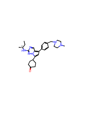 CC[C@H](C)Nc1ncc2c(-c3ccc(CN4CCN(C)CC4)cc3)cc(C3CCC(=O)CC3)n2n1